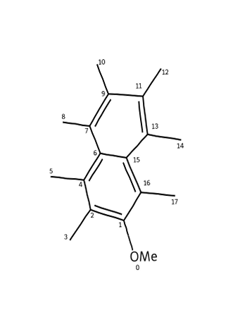 COc1c(C)c(C)c2c(C)c(C)c(C)c(C)c2c1C